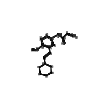 C=CC(=O)Nc1cc(/C=C/C2CCCCC2)c(OC)nn1